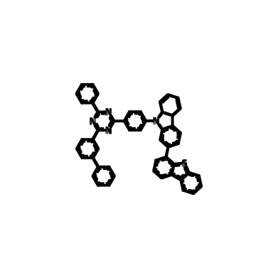 C1=CC2c3ccc(-c4cccc5c4sc4ccccc45)cc3N(c3ccc(-c4nc(-c5ccccc5)nc(-c5cccc(-c6ccccc6)c5)n4)cc3)C2C=C1